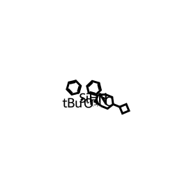 CC(C)(C)[Si](O[C@H]1C2CC3(C4CCC4)CNC1C(C3)N2)(c1ccccc1)c1ccccc1